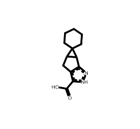 O=C(O)c1[nH]nc2c1CC1C2C12CCCCC2